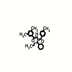 CCC[C@@H](C1CCCCC1)N(NC(=O)c1cc(C)cc(C)c1)C(=O)c1ccc(C)cc1